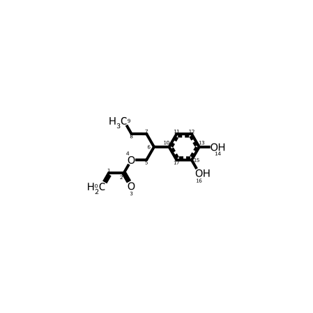 C=CC(=O)OCC(CCC)c1ccc(O)c(O)c1